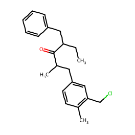 CCC(Cc1ccccc1)C(=O)C(C)Cc1ccc(C)c(CCl)c1